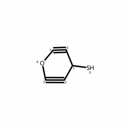 SC1C#COC#C1